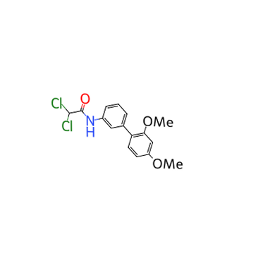 COc1ccc(-c2cccc(NC(=O)C(Cl)Cl)c2)c(OC)c1